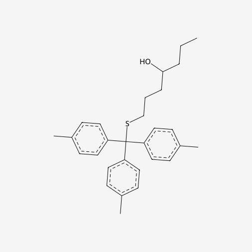 CCCC(O)CCCSC(c1ccc(C)cc1)(c1ccc(C)cc1)c1ccc(C)cc1